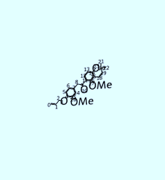 C=CCOc1ccc(CC(=O)c2ccc3c(c2OC)C=CC(C)(C)O3)cc1OC